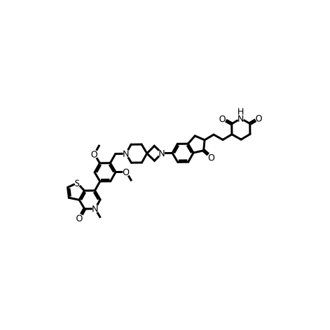 COc1cc(-c2cn(C)c(=O)c3ccsc23)cc(OC)c1CN1CCC2(CC1)CN(c1ccc3c(c1)CC(CCC1CCC(=O)NC1=O)C3=O)C2